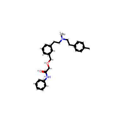 CCCCN(CCc1ccc(C)cc1)CCc1cccc(COCC(=O)Nc2ccccc2)c1